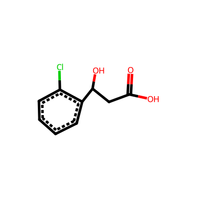 O=C(O)CC(O)c1ccccc1Cl